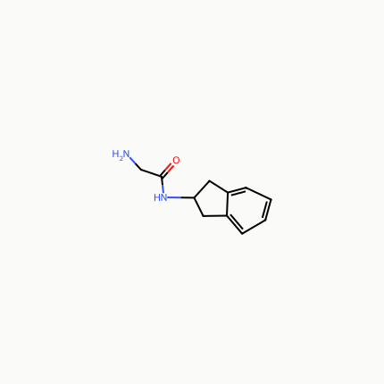 NCC(=O)NC1Cc2ccccc2C1